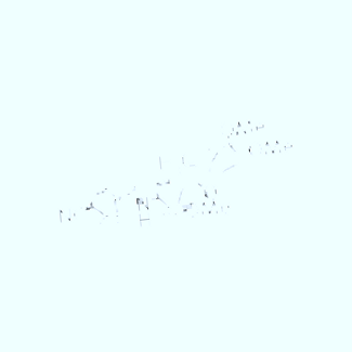 COc1ccc([C@H](C)C(=O)c2ccc(NCc3ccc(C#N)cc3)cc2OC)cc1OC